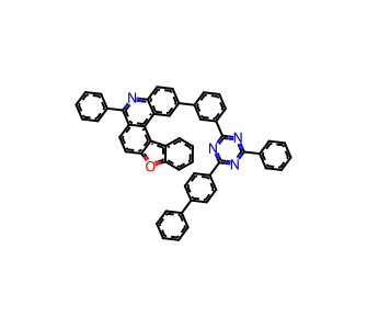 c1ccc(-c2ccc(-c3nc(-c4ccccc4)nc(-c4cccc(-c5ccc6nc(-c7ccccc7)c7ccc8oc9ccccc9c8c7c6c5)c4)n3)cc2)cc1